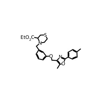 CCOC(=O)C1CSCCN1Cc1cccc(OCc2nc(-c3ccc(C)cc3)oc2C)c1